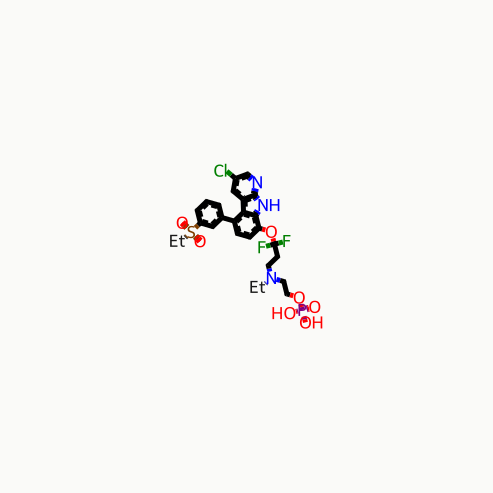 CCN(CCOP(=O)(O)O)CCC(F)(F)Oc1ccc(-c2cccc(S(=O)(=O)CC)c2)c2c1[nH]c1ncc(Cl)cc12